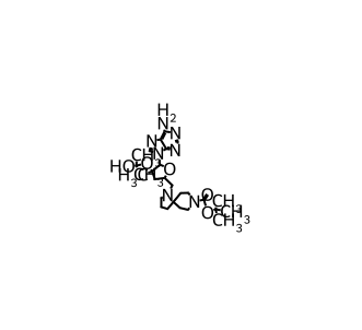 CC(C)(C)OC(=O)N1CCC2(CCCN2CC2CC(C)(OC(C)(C)O)C(n3cnc4c(N)ncnc43)O2)CC1